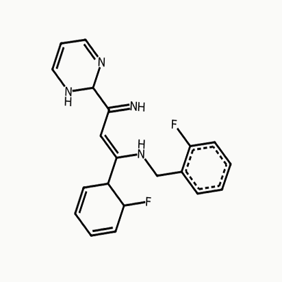 N=C(/C=C(\NCc1ccccc1F)C1C=CC=CC1F)C1N=CC=CN1